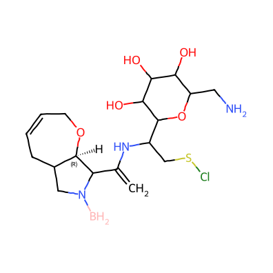 BN1CC2CC=CCO[C@H]2C1C(=C)NC(CSCl)C1OC(CN)C(O)C(O)C1O